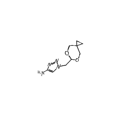 Nc1cn(CC2OCC3(CC3)CO2)nn1